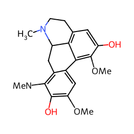 CNc1c(O)c(OC)cc2c1CC1c3c(cc(O)c(OC)c3-2)CCN1C